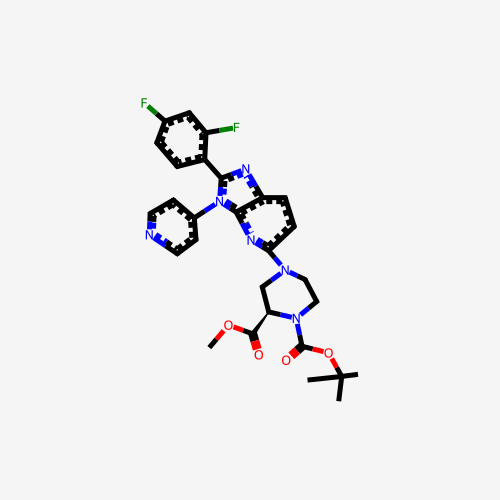 COC(=O)[C@H]1CN(c2ccc3nc(-c4ccc(F)cc4F)n(-c4ccncc4)c3n2)CCN1C(=O)OC(C)(C)C